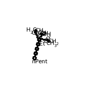 C=C(C)C(=O)OCCCc1cc(-c2ccc(-c3ccc(-c4ccc(C5CCC(CCCCC)CC5)cc4)cc3)cc2CC)cc(CCCOC(=O)C(=C)C)c1OCC(C)(CO)CO